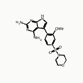 COc1cc(S(=O)(=O)N2CCOCC2)ccc1-c1c[nH]c2nc(N)nc(N)c12